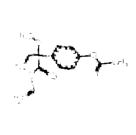 C=COC(=O)C(C=C)(OC)c1ccc(OC(C)=O)cc1